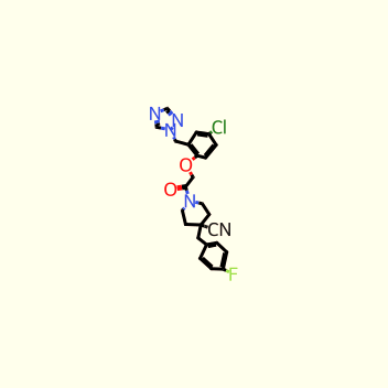 N#CC1(Cc2ccc(F)cc2)CCN(C(=O)COc2ccc(Cl)cc2Cn2cncn2)CC1